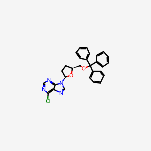 Clc1ncnc2c1ncn2[C@H]1CC[C@@H](COC(c2ccccc2)(c2ccccc2)c2ccccc2)O1